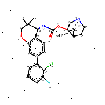 CC1(C)COc2cc(-c3cccc(F)c3Cl)ccc2C1NC(=O)O[C@H]1CN2CCC1CC2